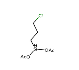 CC(=O)O[SiH](CCCCl)OC(C)=O